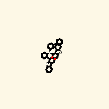 c1ccc(-c2cccc(N(c3ccccc3-c3cccc4c3sc3ccccc34)c3cccc4oc5ccccc5c34)c2)cc1